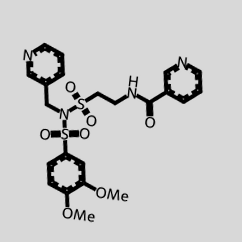 COc1ccc(S(=O)(=O)N(Cc2cccnc2)S(=O)(=O)CCNC(=O)c2cccnc2)cc1OC